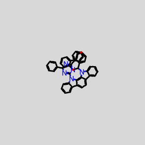 c1ccc(-c2nc(-c3ccccc3)nc(-n3c4ccccc4c4ccc5c6ccccc6n(C6Cc7ccccc7-c7ccccc76)c5c43)n2)cc1